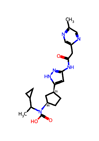 Cc1cnc(CC(=O)Nc2cc([C@H]3CC[C@@H](N(C(=O)O)C(C)C4CC4)C3)[nH]n2)cn1